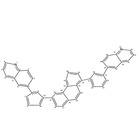 c1cc(-c2ccc3ncccc3c2)cc(-c2ccc3ccc4c(-c5cccc(-c6ccc7ncccc7c6)c5)cccc4c3c2)c1